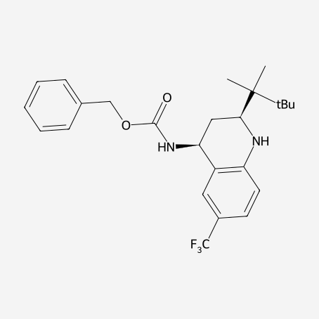 CC(C)(C)C(C)(C)[C@@H]1C[C@H](NC(=O)OCc2ccccc2)c2cc(C(F)(F)F)ccc2N1